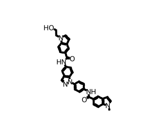 Cn1ccc2cc(C(=O)Nc3ccc(-n4ncc5cc(NC(=O)c6ccc7c(ccn7CCO)c6)ccc54)cc3)ccc21